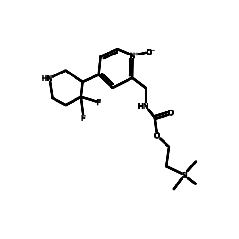 C[Si](C)(C)CCOC(=O)NCc1cc(C2CNCCC2(F)F)cc[n+]1[O-]